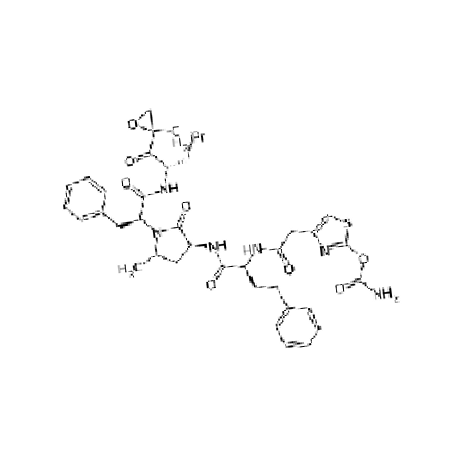 CC(C)C[C@H](NC(=O)[C@H](Cc1ccccc1)N1C(=O)[C@@H](NC(=O)[C@H](CCc2ccccc2)NC(=O)Cc2csc(OC(N)=O)n2)CC1C)C(=O)C1(C)CO1